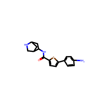 Nc1ccc(-c2ccc(C(=O)NC3CC4CC3CN4)s2)cc1